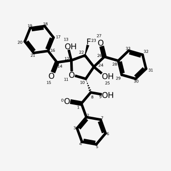 O=C(c1ccccc1)C(O)[C@@H]1OC(O)(C(=O)c2ccccc2)[C@@H](F)C1(O)C(=O)c1ccccc1